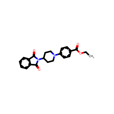 CCOC(=O)c1ccc(N2CCC(N3C(=O)c4ccccc4C3=O)CC2)cc1